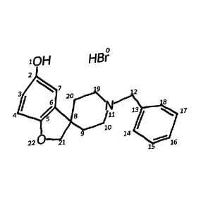 Br.Oc1ccc2c(c1)C1(CCN(Cc3ccccc3)CC1)CO2